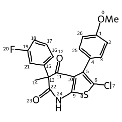 COc1ccc(-c2c(Cl)sc3c2C(=O)C(C)(c2cccc(F)c2)C(=O)N3)cc1